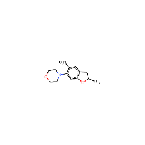 CC1Cc2cc([N+](=O)[O-])c(N3CCOCC3)cc2O1